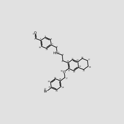 O=Cc1ccc(CNCCc2cc3c(cc2OCc2ccc(Br)cc2)CCCC3)cc1